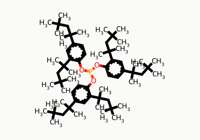 CC(C)(C)CC(C)(C)c1ccc(OP(Oc2ccc(C(C)(C)CC(C)(C)C)cc2C(C)(C)CC(C)(C)C)Oc2ccc(C(C)(C)CC(C)(C)C)cc2C(C)(C)CC(C)(C)C)c(C(C)(C)CC(C)(C)C)c1